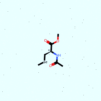 COC(=O)[C@H](C[Se]C)NC(C)=O